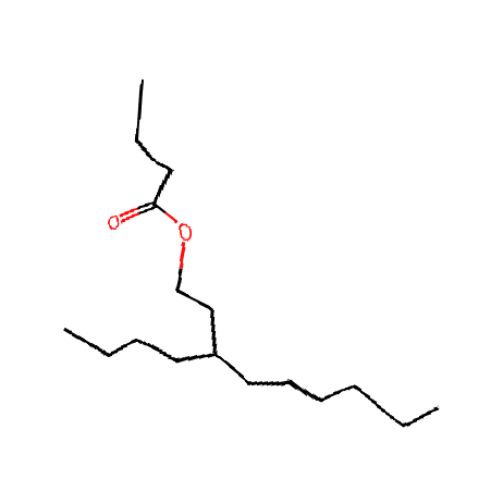 CCCCCCC(CCCC)CCOC(=O)CCC